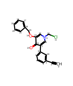 C#Cc1cccc(-c2cn(CCl)cc(OCc3ccccc3)c2=O)c1